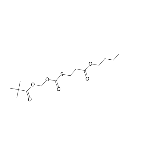 CCCCOC(=O)CCSC(=O)OCOC(=O)C(C)(C)C